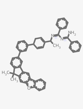 CC(/N=C(\N=C(/N)c1ccccc1)c1ccccc1)C1=CCC(c2cccc(-c3ccc4c(c3)-c3cc5c(cc3C4(C)C)oc3ccccc35)c2)C=C1